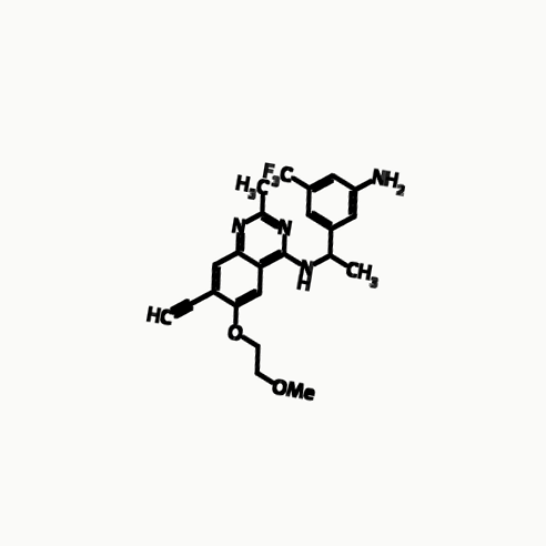 C#Cc1cc2nc(C)nc(NC(C)c3cc(N)cc(C(F)(F)F)c3)c2cc1OCCOC